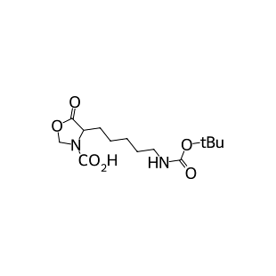 CC(C)(C)OC(=O)NCCCCCC1C(=O)OCN1C(=O)O